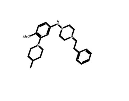 COc1ccc(NN2CCN(CCc3ccccc3)CC2)cc1N1CCC(C)CC1